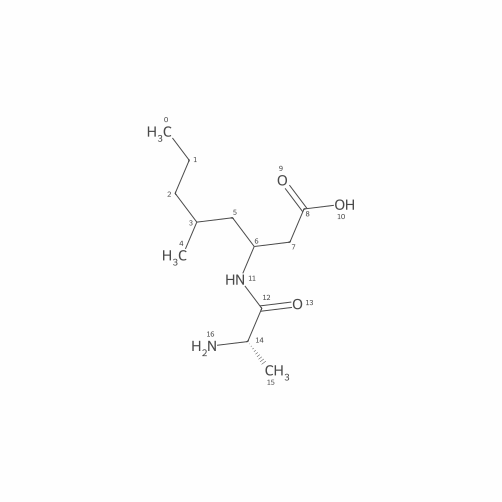 CCCC(C)CC(CC(=O)O)NC(=O)[C@H](C)N